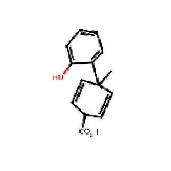 CC1(c2ccccc2O)C=CC(C(=O)O)C=C1